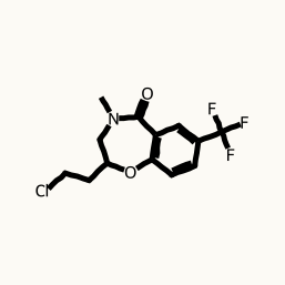 CN1CC(CCCl)Oc2ccc(C(F)(F)F)cc2C1=O